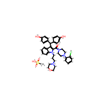 CS(=O)(=O)O.O=C(c1c(C(c2ccc(O)cc2)c2ccc(O)cc2)c2ccccc2n1CCCN1CCOCC1)N1CCN(c2ccccc2Cl)CC1